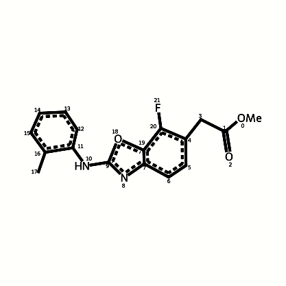 COC(=O)Cc1ccc2nc(Nc3ccccc3C)oc2c1F